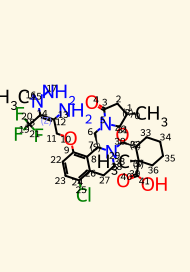 C[C@@H]1CC(=O)N(C[C@@H]2c3c(OC/C(N)=C(/N(C)N)C(F)(F)F)ccc(Cl)c3CCN2C(=O)[C@H]2CCCC[C@]2(C)C(=O)O)C1